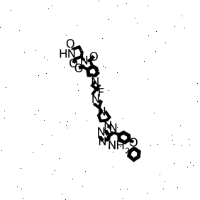 Nc1ncnc2c1c(-c1ccc(Oc3ccccc3)cc1)nn2C1CCN(C2CN(CC3(F)CN(c4ccc5c(c4)C(=O)N(C4CCC(=O)NC4=O)C5=O)C3)C2)CC1